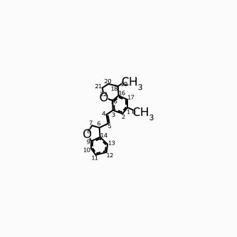 Cc1cc(/C=C/C2COc3ccccc32)c2c(c1)C(C)CCO2